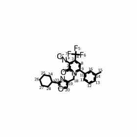 [C-]#[N+]c1c(C(F)(F)F)cc(-c2cccc(C)c2)n(Cc2coc(C3CCCCC3)n2)c1=O